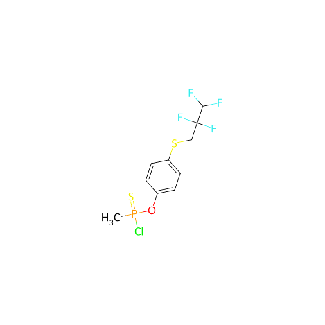 CP(=S)(Cl)Oc1ccc(SCC(F)(F)C(F)F)cc1